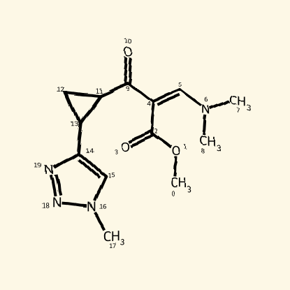 COC(=O)C(=CN(C)C)C(=O)C1CC1c1cn(C)nn1